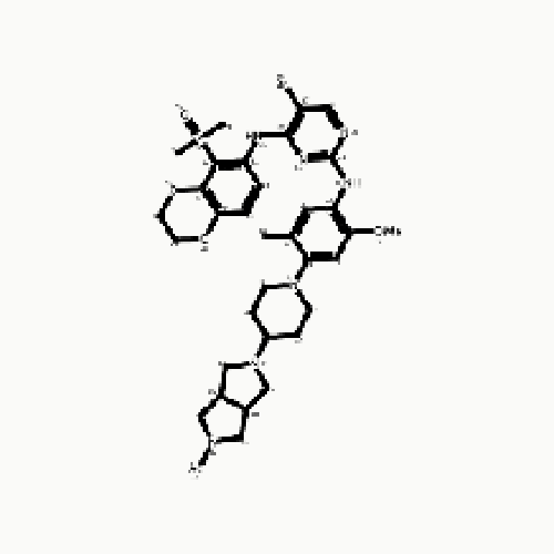 COc1cc(N2CCC(N3CC4CN(C(C)=O)CC4C3)CC2)c(C)cc1Nc1ncc(Br)c(Nc2ccc3c(c2P(C)(C)=O)OCCO3)n1